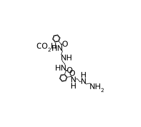 NCCNCCNC(=O)c1ccccc1C(=O)NCCNCCNC(=O)c1ccccc1C(=O)O